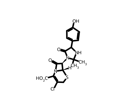 CC1(C)NC(c2ccc(O)cc2)C(=O)N1[C@@H]1C(=O)N2C(C(=O)O)=C(Cl)CS[C@@H]12